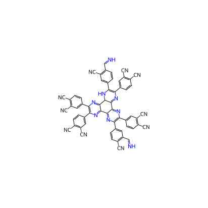 N#Cc1ccc(C2=C(c3ccc(C=N)c(C#N)c3)NC3C(=N2)c2nc(-c4ccc(C#N)c(C#N)c4)c(-c4ccc(C#N)c(C=N)c4)nc2-c2nc(-c4ccc(C#N)c(C#N)c4)c(-c4ccc(C#N)c(C#N)c4)nc23)cc1C#N